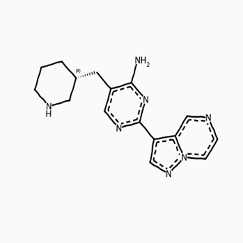 Nc1nc(-c2cnn3ccncc23)ncc1C[C@H]1CCCNC1